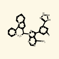 CC(c1cc2ccccn2c1-c1ccccn1)n1nc(-c2cc(F)cc(C3=NNNN3)c2)c2c(N)ncnc21